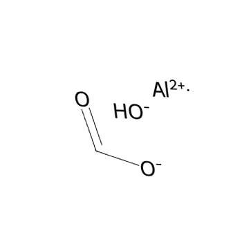 O=C[O-].[Al+2].[OH-]